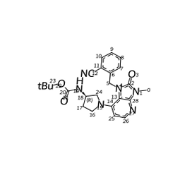 Cn1c(=O)n(Cc2ccccc2C#N)c2c(N3CC[C@@H](NC(=O)OC(C)(C)C)C3)ccnc21